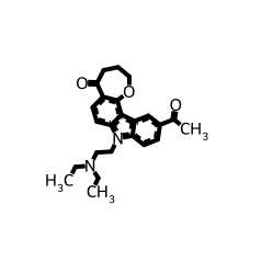 CCN(CC)CCn1c2ccc(C(C)=O)cc2c2c3c(ccc21)C(=O)CCCO3